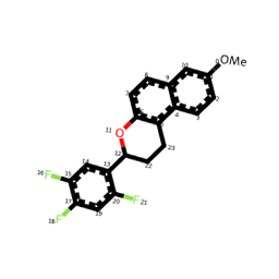 COc1ccc2c3c(ccc2c1)OC(c1cc(F)c(F)cc1F)CC3